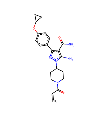 C=CC(=O)N1CCC(n2nc(-c3ccc(OC4CC4)cc3)c(C(N)=O)c2N)CC1